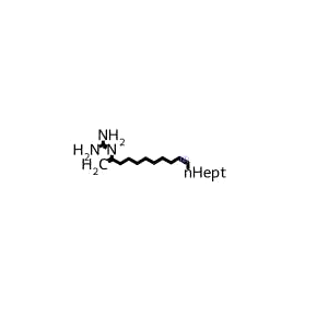 C=C(CCCCCCC/C=C\CCCCCCC)N=C(N)N